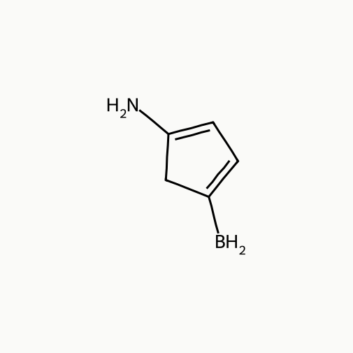 BC1=CC=C(N)C1